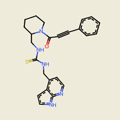 O=C(C#Cc1ccccc1)N1CCCCC1CNC(=S)NCc1ccnc2[nH]ccc12